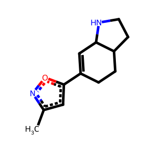 Cc1cc(C2=CC3NCCC3CC2)on1